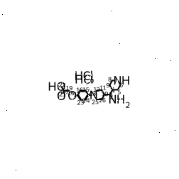 Cl.Cl.NC(C1CCNCC1)C1CCN(c2ccc(OCC(=O)O)cc2)CC1